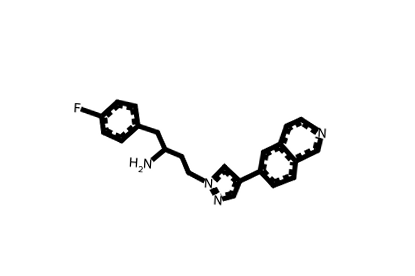 NC(CCn1cc(-c2ccc3cnccc3c2)cn1)Cc1ccc(F)cc1